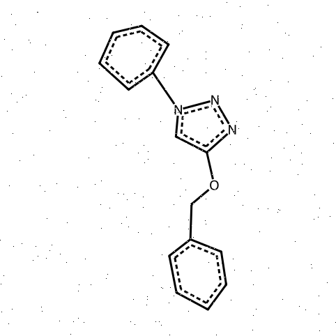 c1ccc(COc2cn(-c3ccccc3)nn2)cc1